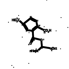 CCCCCCCCC(CCCCCCC)OC(=O)c1cc(C(=O)O)ccc1C(=O)O